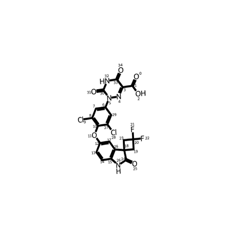 O=C(O)c1nn(-c2cc(Cl)c(Oc3ccc4c(c3)C3(CC(F)(F)C3)C(=O)N4)c(Cl)c2)c(=O)[nH]c1=O